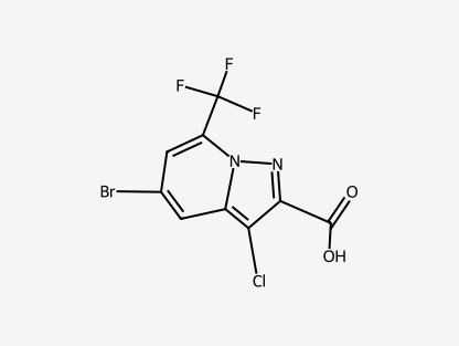 O=C(O)c1nn2c(C(F)(F)F)cc(Br)cc2c1Cl